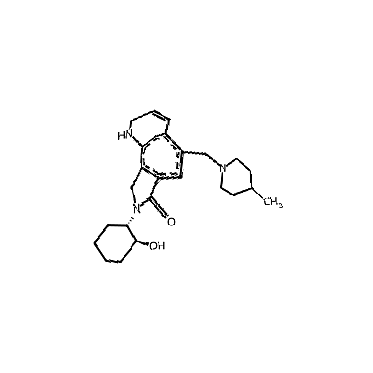 CC1CCN(Cc2cc3c(c4c2C=CCN4)CN([C@H]2CCCC[C@@H]2O)C3=O)CC1